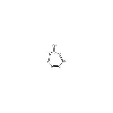 O=c1cc[c]cnc1